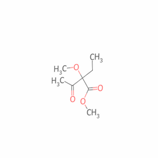 CCC(OC)(C(C)=O)C(=O)OC